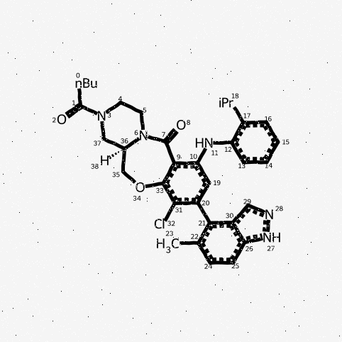 CCCCC(=O)N1CCN2C(=O)c3c(Nc4ccccc4C(C)C)cc(-c4c(C)ccc5[nH]ncc45)c(Cl)c3OC[C@H]2C1